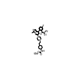 CCN(C(=O)c1cc(F)ccc1-c1cc(N2CCN(CCC3CCC(NC(=O)OC(C)(C)C)CC3)CC2)cn2c(C)ncc12)C(C)C